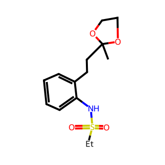 CCS(=O)(=O)Nc1ccccc1CCC1(C)OCCO1